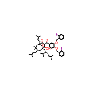 C=C(C)C(CC=C(C)C)CC12CC(CC=C(C)C)C(C)(C)CC(CC=C(C)C)(C(=O)C(C(=O)c3ccc(OCc4ccccc4I)c(OCc4ccccc4I)c3)=C1O)C2=O